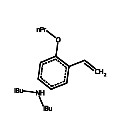 C=Cc1ccccc1OCCC.CCC(C)NC(C)CC